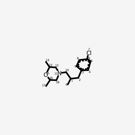 CC(Cc1ccc(Cl)cc1)CN1CC(C)OC(C)C1